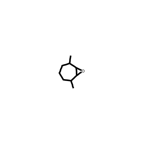 CC1CCCC(C)C2OC12